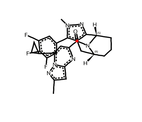 Cc1cc2nc(C(=O)N3[C@@H]4CCC[C@H]3c3nn(C)c(-c5cc(F)c(F)c(F)c5)c3C4)cc(C3CC3)n2n1